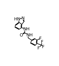 O=C(NCc1ccc(C(F)(F)F)c(F)c1)Nc1cccc2[nH]ncc12